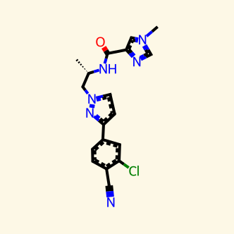 C[C@@H](Cn1ccc(-c2ccc(C#N)c(Cl)c2)n1)NC(=O)c1cn(C)cn1